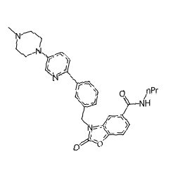 CCCNC(=O)c1ccc2oc(=O)n(Cc3cccc(-c4ccc(N5CCN(C)CC5)cn4)c3)c2c1